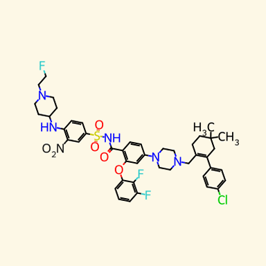 CC1(C)CCC(CN2CCN(c3ccc(C(=O)NS(=O)(=O)c4ccc(NC5CCN(CCF)CC5)c([N+](=O)[O-])c4)c(Oc4cccc(F)c4F)c3)CC2)=C(c2ccc(Cl)cc2)C1